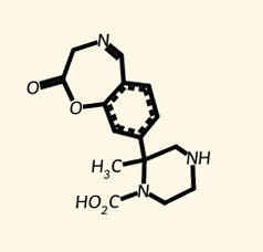 CC1(c2ccc3c(c2)OC(=O)CN=C3)CNCCN1C(=O)O